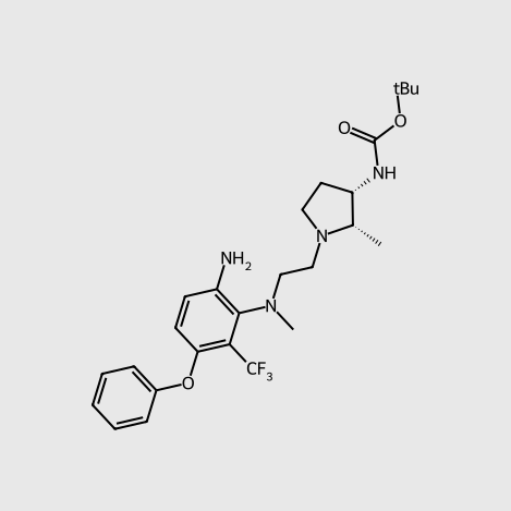 C[C@H]1[C@@H](NC(=O)OC(C)(C)C)CCN1CCN(C)c1c(N)ccc(Oc2ccccc2)c1C(F)(F)F